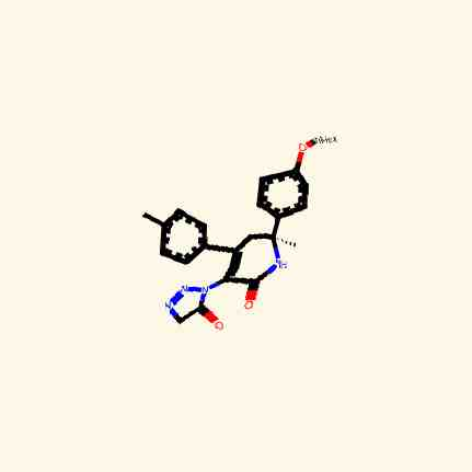 CCCCCCOc1ccc([C@]2(C)CC(c3ccc(C)cc3)=C(N3N=NCC3=O)C(=O)N2)cc1